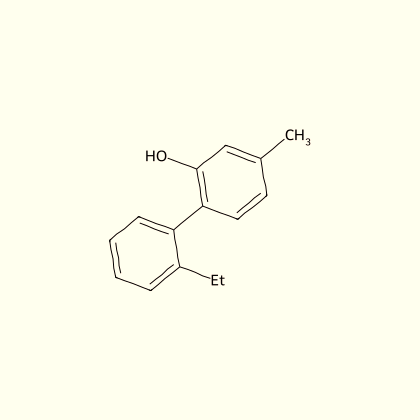 CCc1ccccc1-c1ccc(C)cc1O